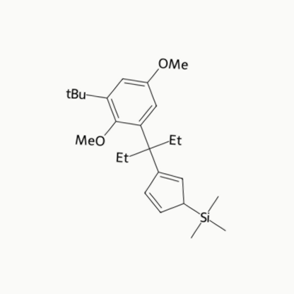 CCC(CC)(C1=CC([Si](C)(C)C)C=C1)c1cc(OC)cc(C(C)(C)C)c1OC